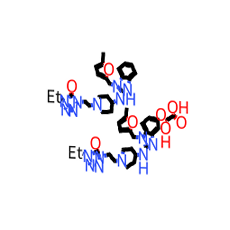 CCn1nnn(CCN2CCC(Nc3nc4ccccc4n3Cc3ccc(C)o3)CC2)c1=O.CCn1nnn(CCN2CCC(Nc3nc4ccccc4n3Cc3ccc(C)o3)CC2)c1=O.O=C(O)C(=O)O